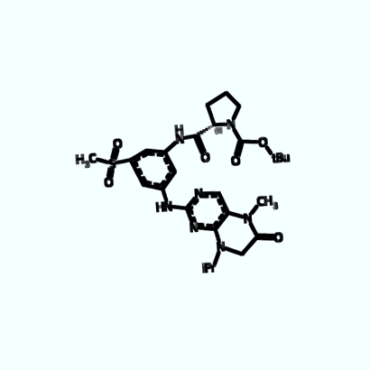 CC(C)N1CC(=O)N(C)c2cnc(Nc3cc(NC(=O)[C@@H]4CCCN4C(=O)OC(C)(C)C)cc(S(C)(=O)=O)c3)nc21